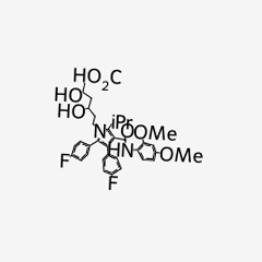 COc1ccc(NC(=O)c2c(-c3ccc(F)cc3)c(-c3ccc(F)cc3)n(CCC(O)CC(O)CC(=O)O)c2C(C)C)c(OC)c1